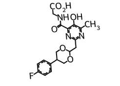 Cc1nc(CC2OCC(c3ccc(F)cc3)CO2)nc(C(=O)NCC(=O)O)c1O